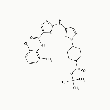 Cc1cccc(Cl)c1NC(=O)c1cnc(Nc2cnn(C3CCN(C(=O)OC(C)(C)C)CC3)c2)s1